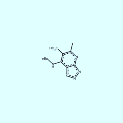 CCCCNc1c(C(=O)O)c(C)nc2nnsc12